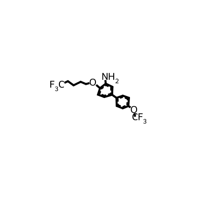 Nc1cc(-c2ccc(OC(F)(F)F)cc2)ccc1OCCCCC(F)(F)F